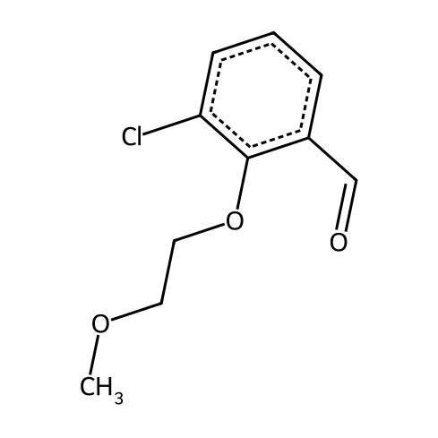 COCCOc1c(Cl)cccc1C=O